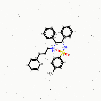 Cc1ccc(S(=O)(=O)N[C@@H](c2ccccc2)[C@H](NCCCC2=CCC=CC2)c2ccccc2)cc1